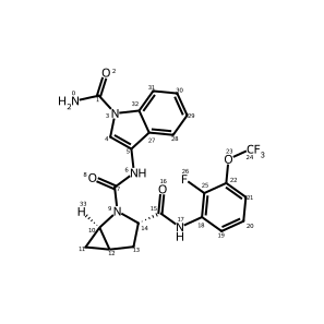 NC(=O)n1cc(NC(=O)N2[C@@H]3CC3C[C@H]2C(=O)Nc2cccc(OC(F)(F)F)c2F)c2ccccc21